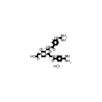 Cl.N=C(N)Nc1ccc(C(=O)NCC[C@H]2C(=O)N(CC(=O)O)CCN2C(=O)CNC(=O)c2ccc(C(=N)N)cc2)cc1